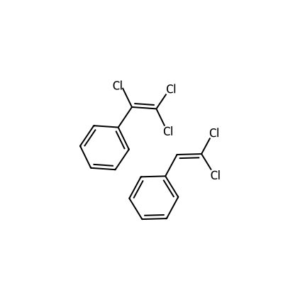 ClC(Cl)=C(Cl)c1ccccc1.ClC(Cl)=Cc1ccccc1